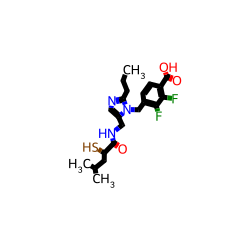 CCCc1ncc(CNC(=O)C(S)CC(C)C)n1Cc1ccc(C(=O)O)c(F)c1F